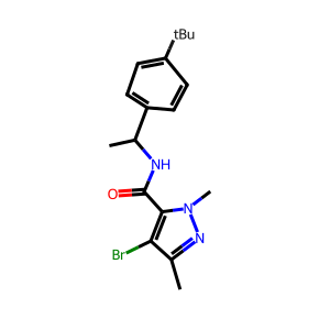 Cc1nn(C)c(C(=O)NC(C)c2ccc(C(C)(C)C)cc2)c1Br